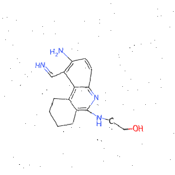 N=Cc1c(N)ccc2nc(NCCO)c3c(c12)CCCC3